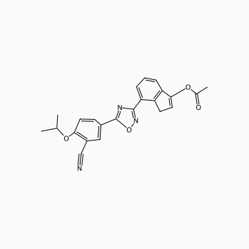 CC(=O)OC1=CCc2c1cccc2-c1noc(-c2ccc(OC(C)C)c(C#N)c2)n1